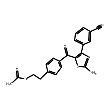 CC(=O)OCCc1ccc(C(=O)c2sc(N)nc2-c2cccc(C#N)c2)cc1